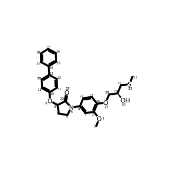 COc1cc(N2CCC(Oc3ccc(-c4ccccc4)cc3)C2=O)ccc1OC[C@H](O)CSC